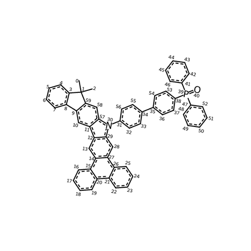 CC1(C)c2ccccc2-c2cc3c4cc5c6ccccc6c6ccccc6c5cc4n(-c4ccc(-c5ccc(P(=O)(c6ccccc6)c6ccccc6)cc5)cc4)c3cc21